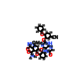 COc1cc(OC2=C3NC(=O)CN=C3NC(Oc3cc(C#N)ccc3Oc3ccccc3)=N2)c(Oc2ccccc2)c(C(=O)N(C)C)c1C(N)=O